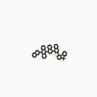 CC1(C)c2ccccc2-c2c1ccc1sc3c(-c4ccc(-c5c6ccccc6c(-c6ccc7ccccc7c6)c6ccccc56)c5ccccc45)c4ccccc4cc3c21